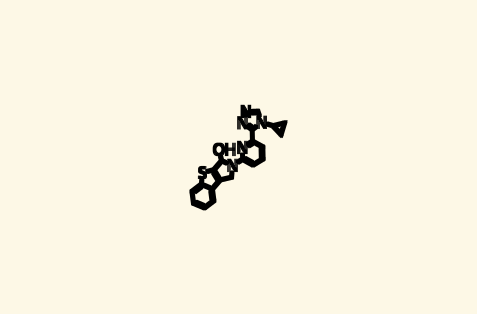 OC1c2sc3ccccc3c2CN1c1cccc(-c2nncn2C2CC2)n1